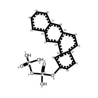 O=P(O)(O)OP(=O)(O)Oc1ccc2ccc3cc4ccccc4cc3c2c1